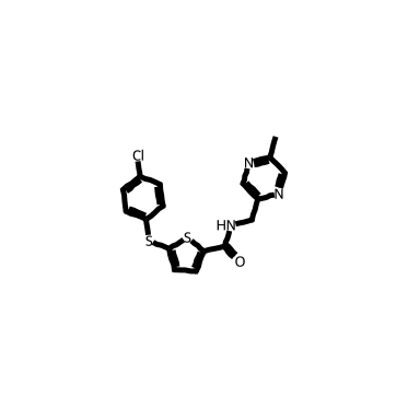 Cc1cnc(CNC(=O)c2ccc(Sc3ccc(Cl)cc3)s2)cn1